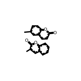 Cc1cc2ccccc2oc1=O.Cc1ccc2oc(=O)ccc2c1